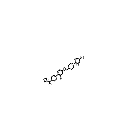 CCc1cnc(N2CCC(COc3ccc(C4=CCC(C(=O)N5CCC5)CC4)c(F)c3)CC2)nc1